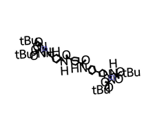 CC(C)(C)OC(=O)/N=C(/NCc1ccc(NC(=O)C23CCC(C(=O)Nc4ccc(C5=CCN(/C(=N\C(=O)OC(C)(C)C)NC(=O)OC(C)(C)C)CC5)cc4)(CC2)CC3)cc1)NC(=O)OC(C)(C)C